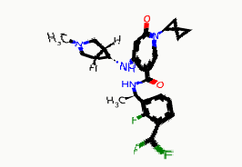 C[C@@H](NC(=O)c1cn([C@H]2CC23CC3)c(=O)cc1N[C@@H]1[C@@H]2CN(C)C[C@@H]21)c1cccc(C(F)F)c1F